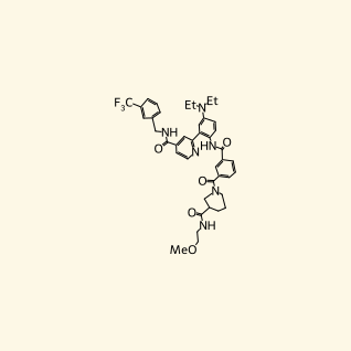 CCN(CC)c1ccc(NC(=O)c2cccc(C(=O)N3CCCC(C(=O)NCCOC)C3)c2)c(-c2cc(C(=O)NCc3cccc(C(F)(F)F)c3)ccn2)c1